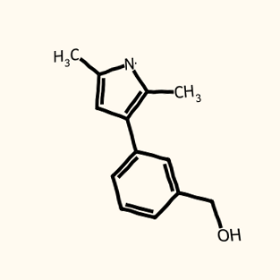 CC1=CC(c2cccc(CO)c2)=C(C)[N]1